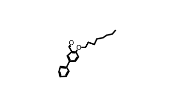 CCCCCCCCOc1ccc(-c2ccccc2)cc1C=O